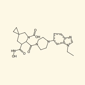 CCn1cnc2ccc(N3CCN(C(=O)C4C(C(=O)NO)CC5(CC5)CN4C(=O)O)CC3)cc21